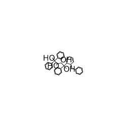 OC(C(O)C(O)(c1ccccc1)C1C=CC=CC1=Cc1ccccc1)C(O)(c1ccccc1)c1ccccc1